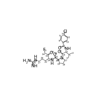 CC(C)C(NC(=O)c1ccc(Cl)cc1)C(=O)N1CCC[C@H]1C(=O)NC(CCCNC(=N)N)C(=O)CF